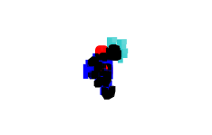 CC1C(N2CCCC2)CC(=O)N1c1cnn2c1CN(C(=O)Nc1cc(F)c(F)c(F)c1)CC2